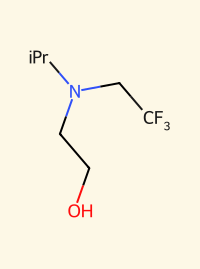 CC(C)N(CCO)CC(F)(F)F